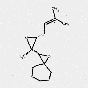 CC(C)=CC[C@H]1O[C@@]1(C)C1OC12CCCCC2